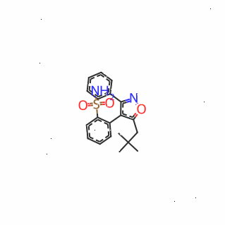 CC(C)(C)Cc1onc(-c2ccccc2)c1-c1ccccc1S(N)(=O)=O